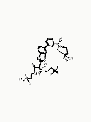 CC1(O)CCN(C(=O)c2cccc(-c3ccc4nc(C(C(=O)NCCS(N)(=O)=O)S(=O)(=O)CCC(F)(F)F)sc4c3)c2)CC1